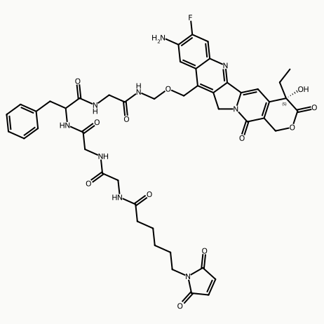 CC[C@@]1(O)C(=O)OCc2c1cc1n(c2=O)Cc2c-1nc1cc(F)c(N)cc1c2COCNC(=O)CNC(=O)C(Cc1ccccc1)NC(=O)CNC(=O)CNC(=O)CCCCCN1C(=O)C=CC1=O